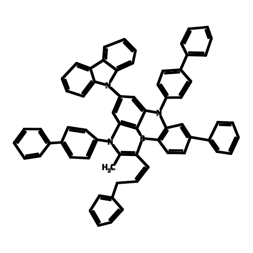 CC1=C(/C=C\Cc2ccccc2)B2c3ccc(-c4ccccc4)cc3N(c3ccc(-c4ccccc4)cc3)c3cc(-n4c5ccccc5c5ccccc54)cc(c32)N1c1ccc(-c2ccccc2)cc1